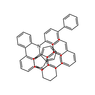 c1ccc(-c2ccc(N(c3ccccc3-c3cccc4cccc(C5CCCCC5)c34)c3ccccc3-c3cccc4sc5ccccc5c34)c(-c3ccccc3)c2)cc1